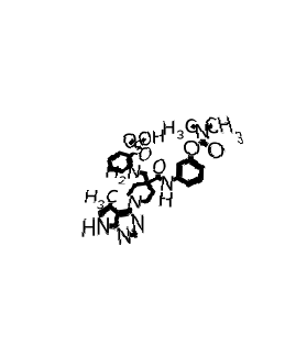 Cc1c[nH]c2ncnc(N3CCC(CN)(C(=O)Nc4cccc(OC(=O)N(C)C)c4)CC3)c12.O=S(=O)(O)c1ccccc1